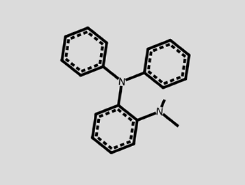 CN(C)c1ccccc1N(c1ccccc1)c1ccccc1